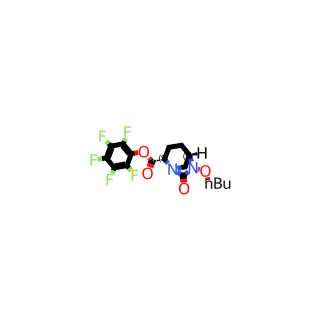 CCCCON1C(=O)N2C[C@@H]1CC[C@H]2C(=O)Oc1c(F)c(F)c(F)c(F)c1F